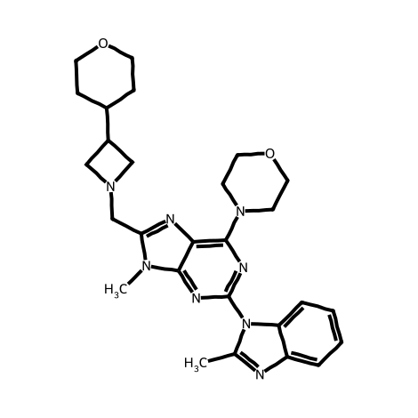 Cc1nc2ccccc2n1-c1nc(N2CCOCC2)c2nc(CN3CC(C4CCOCC4)C3)n(C)c2n1